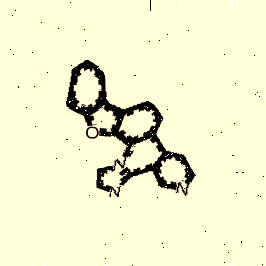 c1ccc2c(c1)oc1c2ccc2c3ccncc3c3nccn3c21